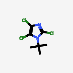 CC(C)(C)n1c(Cl)nc(Cl)c1Cl